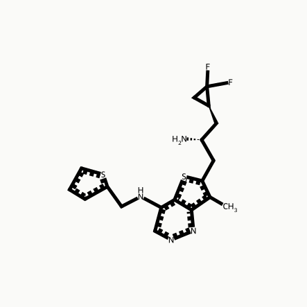 Cc1c(C[C@H](N)C[C@H]2CC2(F)F)sc2c(NCc3cccs3)cnnc12